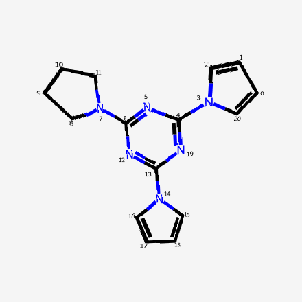 c1ccn(-c2nc(N3CCCC3)nc(-n3cccc3)n2)c1